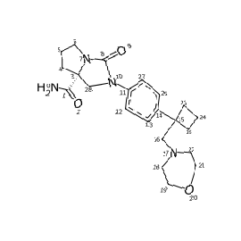 NC(=O)[C@]12[CH]CCN1C(=O)N(c1ccc(C3(CN4CCOCC4)CCC3)cc1)C2